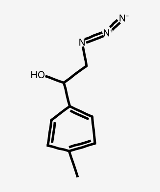 Cc1ccc(C(O)CN=[N+]=[N-])cc1